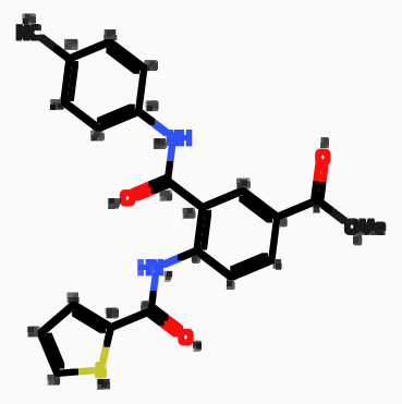 COC(=O)c1ccc(NC(=O)c2cccs2)c(C(=O)Nc2ccc(C#N)cc2)c1